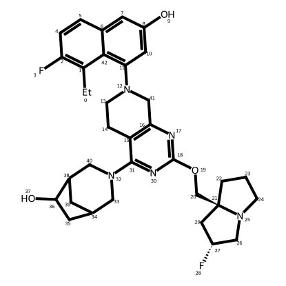 CCc1c(F)ccc2cc(O)cc(N3CCc4c(nc(OC[C@@]56CCCN5C[C@H](F)C6)nc4N4CC5CC(O)C(C5)C4)C3)c12